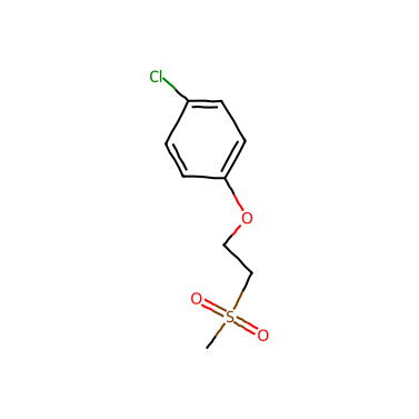 CS(=O)(=O)CCOc1ccc(Cl)cc1